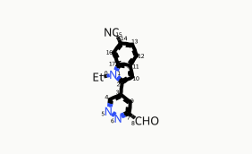 CCn1c(-c2cnnc(C=O)c2)cc2ccc(C#N)cc21